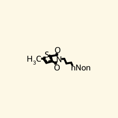 CCCCCCCCCCCCN1C(=O)c2cc(C)sc2C1=O